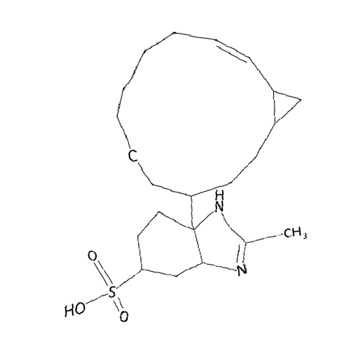 CC1=NC2CC(S(=O)(=O)O)CCC2(C2CCCCCC/C=C\C3CC3CC2)N1